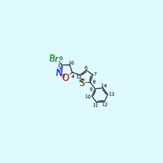 BrC1=NOC(c2ccc(-c3ccccc3)s2)C1